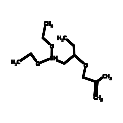 C=C(C)COC(CC)C[SiH](OCC)OCC